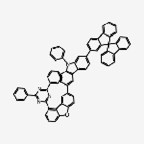 c1ccc(-c2nc(-c3ccccc3)nc(-c3cccc4oc5ccc(-c6ccc7c(c6)c6ccc(-c8ccc9c(c8)C8(c%10ccccc%10-c%10ccccc%108)c8ccccc8-9)cc6n7-c6ccccc6)cc5c34)n2)cc1